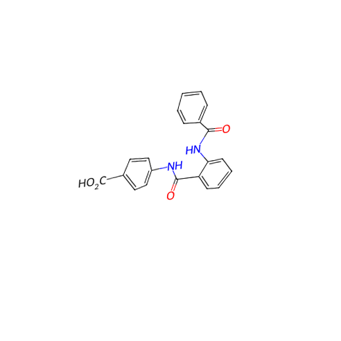 O=C(O)c1ccc(NC(=O)c2ccccc2NC(=O)c2ccccc2)cc1